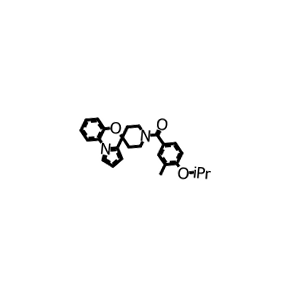 Cc1cc(C(=O)N2CCC3(CC2)Oc2ccccc2-n2cccc23)ccc1OC(C)C